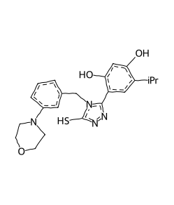 CC(C)c1cc(-c2nnc(S)n2Cc2cccc(N3CCOCC3)c2)c(O)cc1O